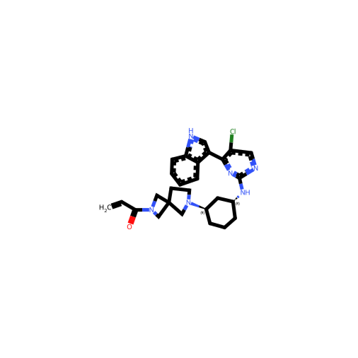 C=CC(=O)N1CC2(CCN([C@@H]3CCC[C@@H](Nc4ncc(Cl)c(-c5c[nH]c6ccccc56)n4)C3)C2)C1